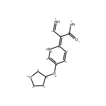 CCCC(=O)/C(C=N)=C1\C=CC(OC2CCOC2)=CN1